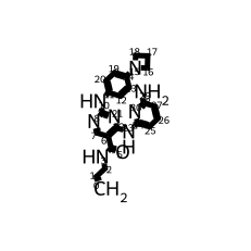 C=CCNC(=O)c1cnc(Nc2ccc(N3CCC3)cc2)nc1Nc1cccc(N)n1